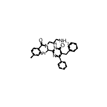 Cc1ccc(C(=O)N(CCCN)C(c2nc(-c3ccccc3)c(Cc3ccccc3)c(=O)[nH]2)C(C)C)cc1